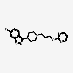 Fc1ccc2c(C3CCN(CCCOc4ncccn4)CC3)noc2c1